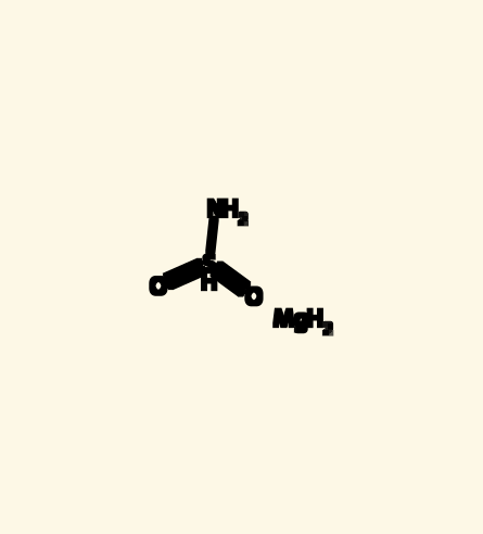 N[SH](=O)=O.[MgH2]